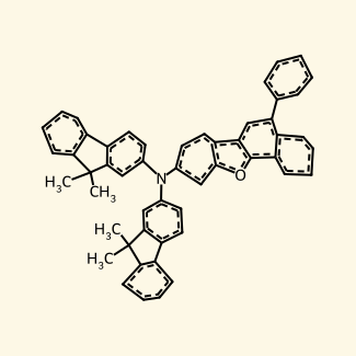 CC1(C)c2ccccc2-c2ccc(N(c3ccc4c(c3)C(C)(C)c3ccccc3-4)c3ccc4c(c3)oc3c5ccccc5c(-c5ccccc5)cc43)cc21